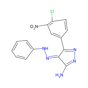 NC1=NN=C(c2ccc(Cl)c([N+](=O)[O-])c2)/C1=N\Nc1ccccc1